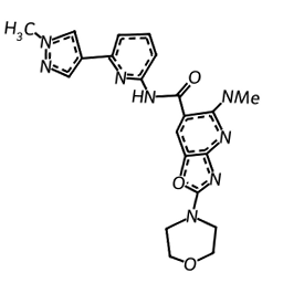 CNc1nc2nc(N3CCOCC3)oc2cc1C(=O)Nc1cccc(-c2cnn(C)c2)n1